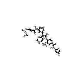 Cc1cnc(NC(=O)c2ccc(-n3c(=O)n(-c4cccc(N(C)C(=O)C#CCN(C)C5CC5)c4)c4ncnc(N)c43)cc2)s1